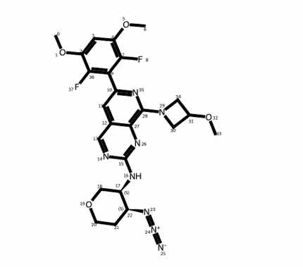 COc1cc(OC)c(F)c(-c2cc3cnc(N[C@@H]4COCC[C@@H]4N=[N+]=[N-])nc3c(N3CC(OC)C3)n2)c1F